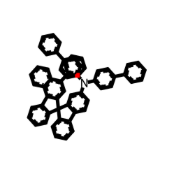 c1ccc(-c2ccc(N(c3ccc(-c4ccccc4)cc3)c3ccc4c(c3)C3(c5ccccc5-4)c4ccccc4-c4c3cc(-c3ccccc3)c3ccccc43)cc2)cc1